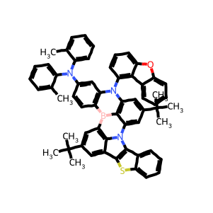 Cc1ccccc1N(c1ccc2c(c1)N(c1cccc3oc4ccccc4c13)c1cc(C(C)(C)C)cc3c1B2c1cc(C(C)(C)C)cc2c4sc5ccccc5c4n-3c12)c1ccccc1C